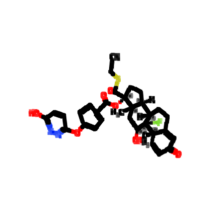 C[C@]12C=CC(=O)C=C1CC[C@H]1[C@@H]3CC[C@](OC(=O)c4ccc(Oc5ccc(O)nn5)cc4)(C(=O)SCC#N)[C@@]3(C)C[C@H](O)[C@@]12F